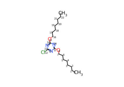 CCCCCCCCOc1nc(Cl)nc(OCCCCCCCC)n1